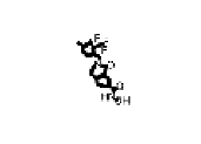 Cc1ccc(Cn2ccc3ccc(C(=O)NO)cc3c2=O)c(C(F)(F)F)c1